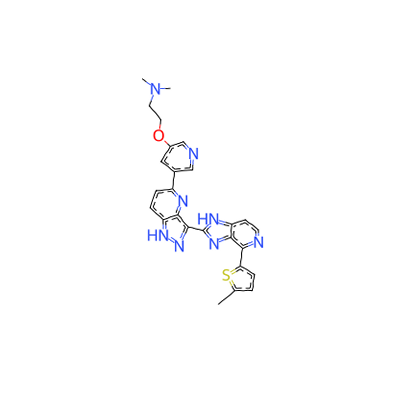 Cc1ccc(-c2nccc3[nH]c(-c4n[nH]c5ccc(-c6cncc(OCCN(C)C)c6)nc45)nc23)s1